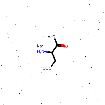 CC(=O)OC(=O)C(N)CC(=O)[O-].[Na+]